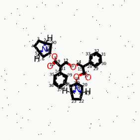 CN1[C@@H]2CC[C@H]1C[C@@H](OC(=O)C(COCC(C(=O)O[C@H]1C[C@H]3CC[C@@H](C1)N3C)c1ccccc1)c1ccccc1)C2